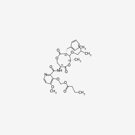 CCCC(=O)OCOc1c(OC)ccnc1C(=O)N[C@H]1COC(=O)[C@H](Cc2ccccc2)C(OCC(C)C)[C@H](C)OC1=O